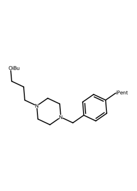 CCCC(C)c1ccc(CN2CCN(CCCOCC(C)C)CC2)cc1